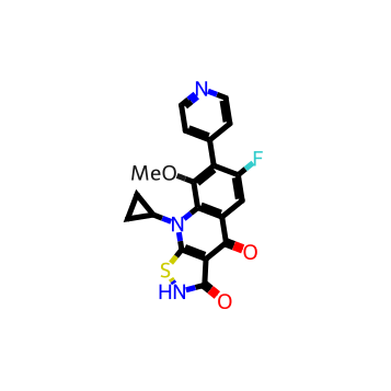 COc1c(-c2ccncc2)c(F)cc2c(=O)c3c(=O)[nH]sc3n(C3CC3)c12